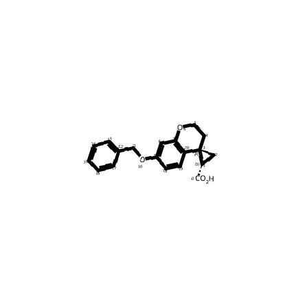 O=C(O)[C@H]1C[C@@]12CCOc1cc(OCc3ccccc3)ccc12